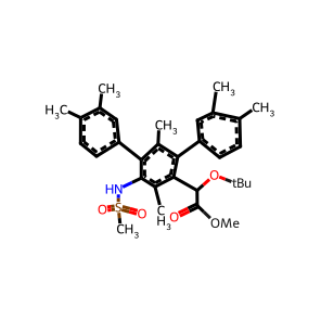 COC(=O)C(OC(C)(C)C)c1c(C)c(NS(C)(=O)=O)c(-c2ccc(C)c(C)c2)c(C)c1-c1ccc(C)c(C)c1